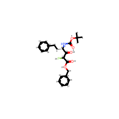 CC(C)(C)OC(=O)N[C@@H](CCc1ccccc1)C(=O)C(F)C(=O)OCc1ccccc1